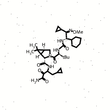 CO/N=C(/C1CC1)[C@@H](NC(=O)N[C@H](C(=O)N1C[C@H]2[C@@H]([C@H]1C(=O)NC(CC1CC1)C(=O)C(N)=O)C2(C)C)C(C)(C)C)C1CCCCC1